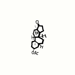 CC(=O)O[C@@H]1CC[C@]2(C)[C@H](CC[C@H]3[C@H]2CC[C@@]2(C)C(=O)CC[C@H]32)C1